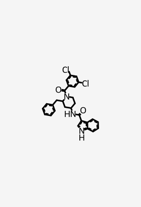 O=C(NC1CCN(C(=O)c2cc(Cl)cc(Cl)c2)C(Cc2ccccc2)C1)c1c[nH]c2ccccc12